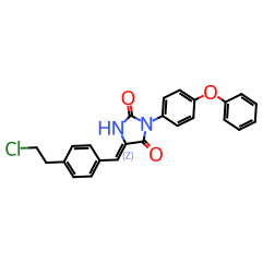 O=C1N/C(=C\c2ccc(CCCl)cc2)C(=O)N1c1ccc(Oc2ccccc2)cc1